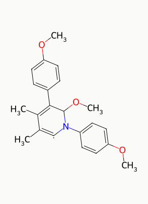 COc1ccc(C2=C(C)C(C)=[C]N(c3ccc(OC)cc3)C2OC)cc1